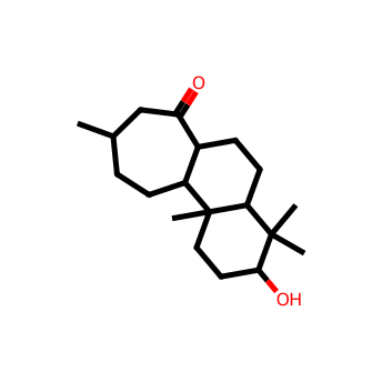 CC1CCC2C(CCC3C(C)(C)C(O)CCC23C)C(=O)C1